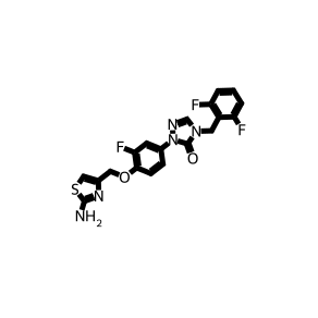 Nc1nc(COc2ccc(-n3ncn(Cc4c(F)cccc4F)c3=O)cc2F)cs1